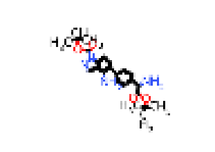 CC(C)(C)OC(=O)C(N)c1ccc(-c2ccc3c(cnn3C(=O)OC(C)(C)C)c2N)cc1